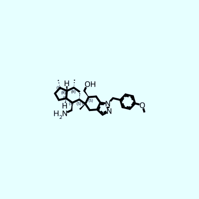 COc1ccc(Cn2ncc3c2C[C@H](CO)[C@@](C)([C@H]2C[C@@H](C)[C@@H]4[C@H](CC[C@@H]4C)[C@@H]2CN)C3)cc1